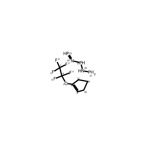 FC(F)(F)C(F)(F)OC1=CCCC1.P=NPNP